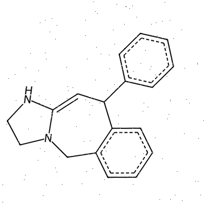 C1=C2NCCN2Cc2ccccc2C1c1ccccc1